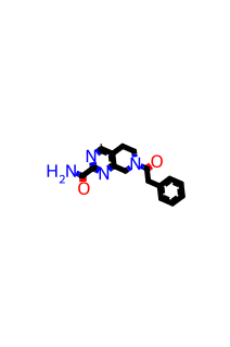 NC(=O)c1n[c]c2c(n1)CN(C(=O)Cc1ccccc1)CC2